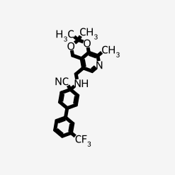 Cc1ncc(CNC2(C#N)C=CC(c3cccc(C(F)(F)F)c3)C=C2)c2c1OC(C)(C)OC2